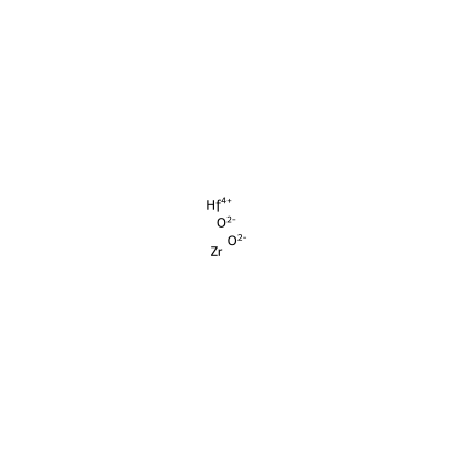 [Hf+4].[O-2].[O-2].[Zr]